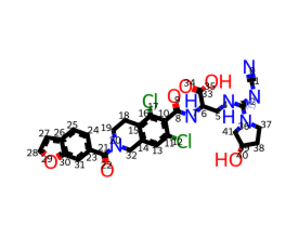 N#C/N=C(\NCC(NC(=O)c1c(Cl)cc2c(c1Cl)CCN(C(=O)c1ccc3ccoc3c1)C2)C(=O)O)N1CCC(O)C1